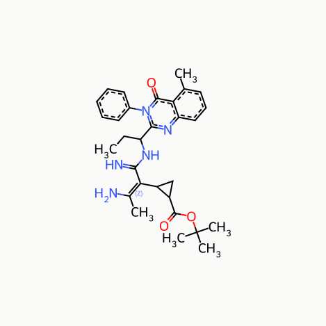 CCC(NC(=N)/C(=C(/C)N)C1CC1C(=O)OC(C)(C)C)c1nc2cccc(C)c2c(=O)n1-c1ccccc1